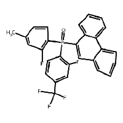 Cc1ccc(P(=O)(c2ccc(C(F)(F)F)cc2F)c2cc3ccccc3c3ccccc23)c(F)c1